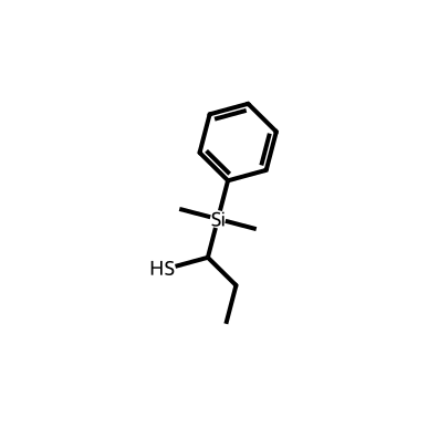 CCC(S)[Si](C)(C)c1ccccc1